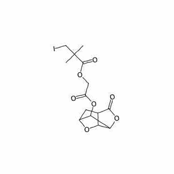 CC(C)(CI)C(=O)OCC(=O)OC1C2CC3C(=O)OC1C3O2